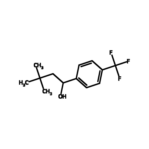 CC(C)(C)CC(O)c1ccc(C(F)(F)F)cc1